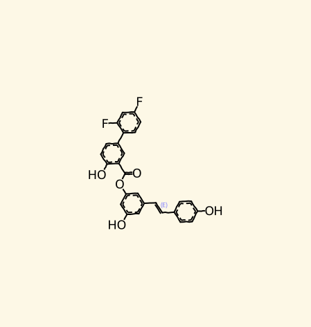 O=C(Oc1cc(O)cc(/C=C/c2ccc(O)cc2)c1)c1cc(-c2ccc(F)cc2F)ccc1O